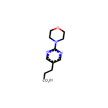 CCOC(=O)CCc1cnc(N2CCOCC2)nc1